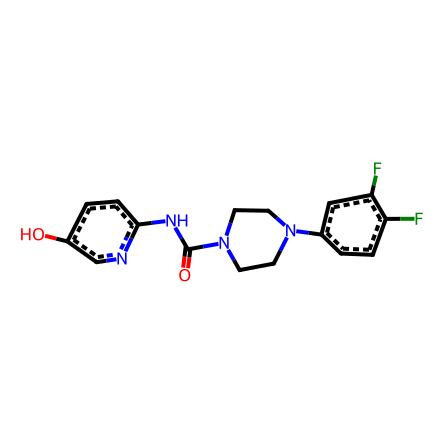 O=C(Nc1ccc(O)cn1)N1CCN(c2ccc(F)c(F)c2)CC1